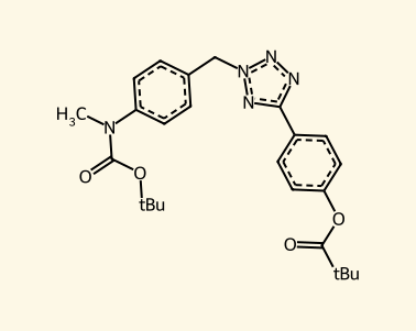 CN(C(=O)OC(C)(C)C)c1ccc(Cn2nnc(-c3ccc(OC(=O)C(C)(C)C)cc3)n2)cc1